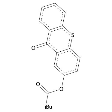 CCC(C)C(=O)Oc1ccc2sc3ccccc3c(=O)c2c1